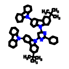 CC(C)(C)c1ccc2c(c1)c1cc(-n3c4ccccc4c4ccccc43)ccc1n2-c1cc(-n2c3ccc(-n4c5ccccc5c5ccccc54)cc3c3cc(C(C)(C)C)ccc32)nc(-c2ccccc2)n1